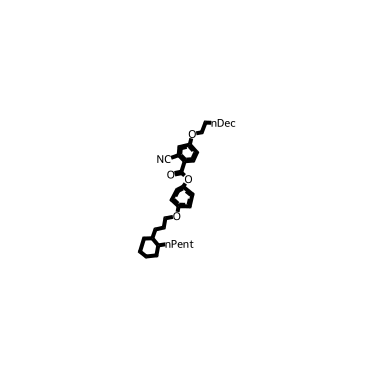 CCCCCCCCCCCCOc1ccc(C(=O)Oc2ccc(OCCCC3CCCCC3CCCCC)cc2)c(C#N)c1